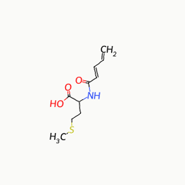 C=CC=CC(=O)NC(CCSC)C(=O)O